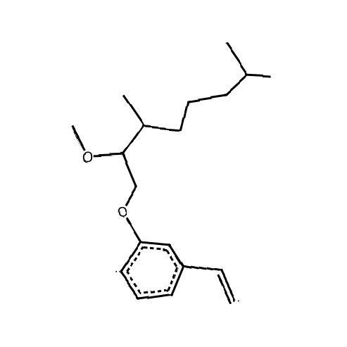 [CH]=Cc1cc[c]c(OCC(OC)C(C)CCCC(C)C)c1